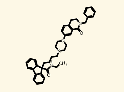 CCNC(=O)C1(CCCCN2CCN(c3ccc4c(c3)C(=O)N(Cc3ccccc3)CC4)CC2)c2ccccc2-c2ccccc21